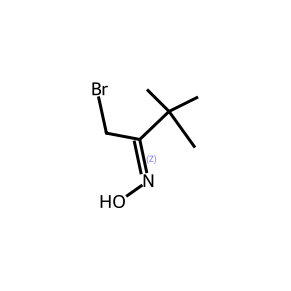 CC(C)(C)/C(CBr)=N/O